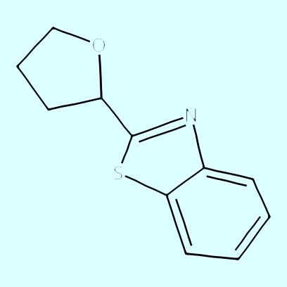 c1ccc2sc(C3CCCO3)nc2c1